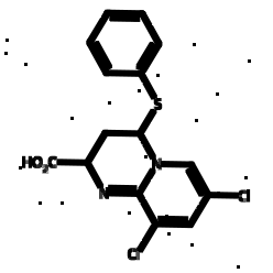 O=C(O)C1CC(Sc2ccccc2)N2C=C(Cl)C=C(Cl)C2=N1